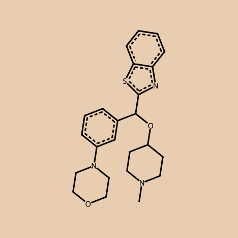 CN1CCC(OC(c2cccc(N3CCOCC3)c2)c2nc3ccccc3s2)CC1